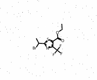 CCOC(=O)c1sc(C(C)Br)nc1C(F)(F)F